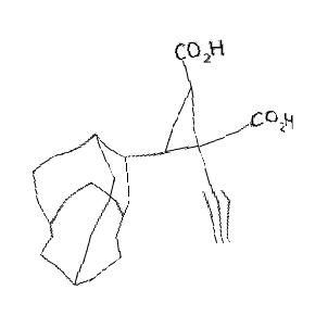 C#CC1(C(=O)O)C(C(=O)O)C1C1C2CC3CC(C2)CC1C3